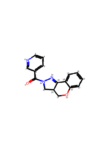 O=C(c1cccnc1)N1CC2COc3ccccc3C2=N1